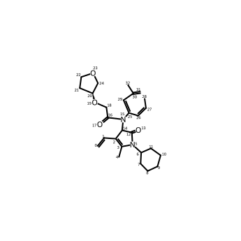 C=CC1=C(C)N(C2CCCCC2)C(=O)C1N(C(=O)CO[C@H]1CCOC1)C(/C=C\C)=C/C(=C)C